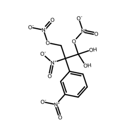 O=[N+]([O-])OCC(c1cccc([N+](=O)[O-])c1)([N+](=O)[O-])C(O)(O)O[N+](=O)[O-]